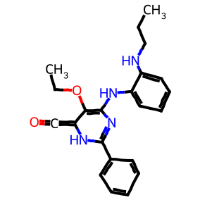 CCCNc1ccccc1NC1=C(OCC)C(=C=O)NC(c2ccccc2)=N1